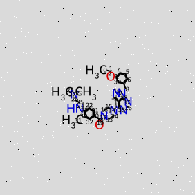 CCOc1cccc(Cn2ncc3c(N4CCN(C(=O)c5ccc(NCCN(C)C)c(C)c5)CC4)ncnc32)c1